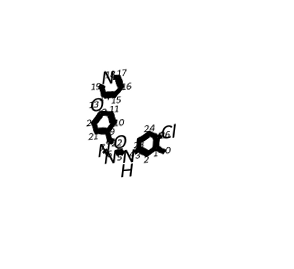 Cc1cc(Nc2nnc(-c3ccc(Oc4cccnc4)cc3)o2)ccc1Cl